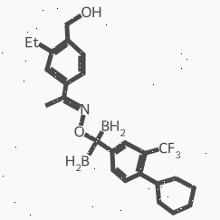 BC(B)(O/N=C(\C)c1ccc(CO)c(CC)c1)c1ccc(C2CCCCC2)c(C(F)(F)F)c1